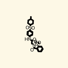 CC1CCC(S(=O)(=O)c2ccc(NC(=O)CN3C(=O)c4ccccc4S3(=O)=O)cc2)CC1